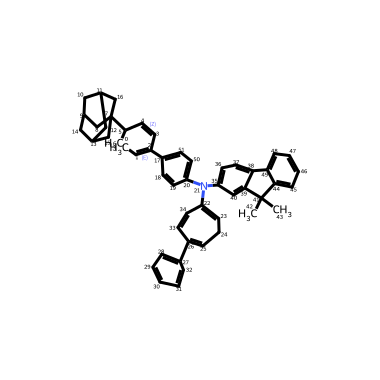 C/C=C(\C=C/C(C)C12CC3CC(CC(C3)C1)C2)c1ccc(N(C2=CCC=C(c3ccccc3)C=C2)c2ccc3c(c2)C(C)(C)c2ccccc2-3)cc1